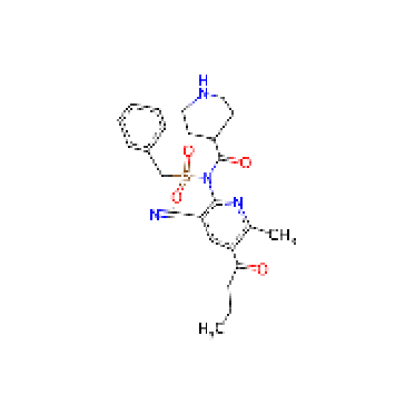 CCCC(=O)c1cc(C#N)c(N(C(=O)C2CCNCC2)S(=O)(=O)Cc2ccccc2)nc1C